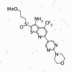 COCCC[S+]([O-])c1sc2nc(-c3cnc(N4CCOCC4)nc3)cc(C(F)(F)F)c2c1N